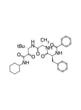 C[C@H](NC(=O)[C@H](Cc1ccccc1)NC(=O)c1ccccc1)C(=O)N[C@H](C(=O)C(=O)NC1CCCCC1)C(C)(C)C